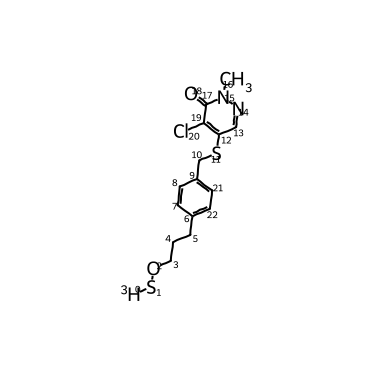 [3H]SOCCCc1ccc(CSc2cnn(C)c(=O)c2Cl)cc1